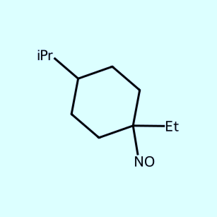 CCC1(N=O)CCC(C(C)C)CC1